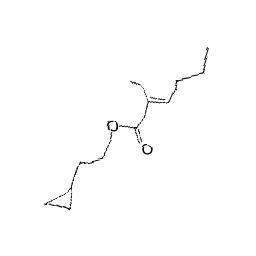 CCC/C=C(\C)C(=O)OCCC1CC1